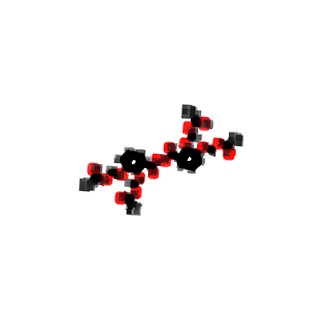 CCC(=O)OCOc1cccc(C(=O)OOC(=O)c2cccc(OCOC(=O)CC)c2OCOC(=O)CC)c1OCOC(=O)CC